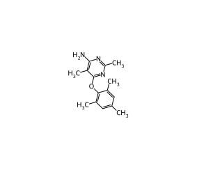 Cc1cc(C)c(Oc2nc(C)nc(N)c2C)c(C)c1